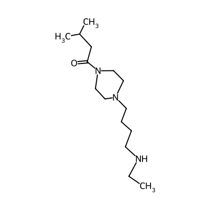 CCNCCCCN1CCN(C(=O)CC(C)C)CC1